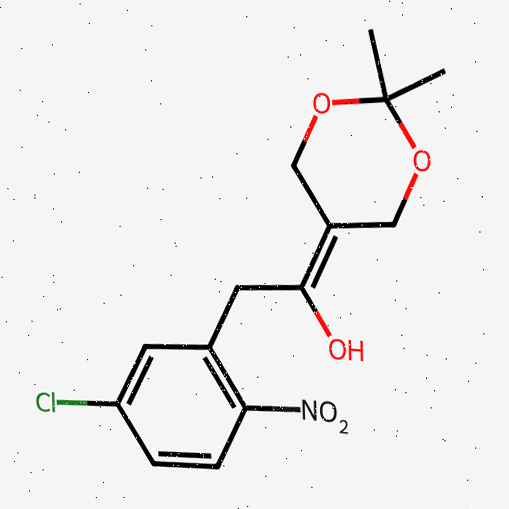 CC1(C)OCC(=C(O)Cc2cc(Cl)ccc2[N+](=O)[O-])CO1